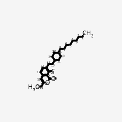 CCCCCCCCCC1CCC(CCc2ccc3cc(CC)oc(=O)c3c2F)CC1